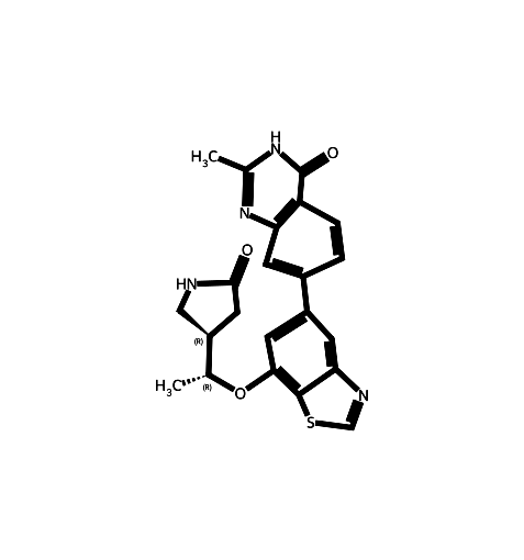 Cc1nc2cc(-c3cc(O[C@H](C)[C@H]4CNC(=O)C4)c4scnc4c3)ccc2c(=O)[nH]1